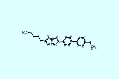 CCCCCc1cc2sc(-c3ccc(-c4ccc(CC)cc4)cc3)cc2s1